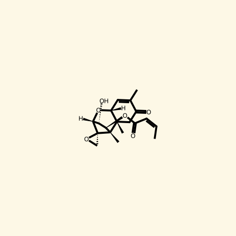 C/C=C\C(=O)O[C@@H]1[C@@H](O)[C@H]2O[C@@H]3C=C(C)C(=O)C[C@]3(C)[C@]1(C)[C@]21CO1